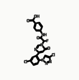 O=C(O)c1ccc(NC(=O)C(F)n2cnc(-c3cc(Cl)ccc3-n3cc(Cl)nn3)cc2=O)cc1